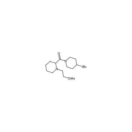 COCCN1CCCCC1C(=O)N1CCC(C(C)(C)C)CC1